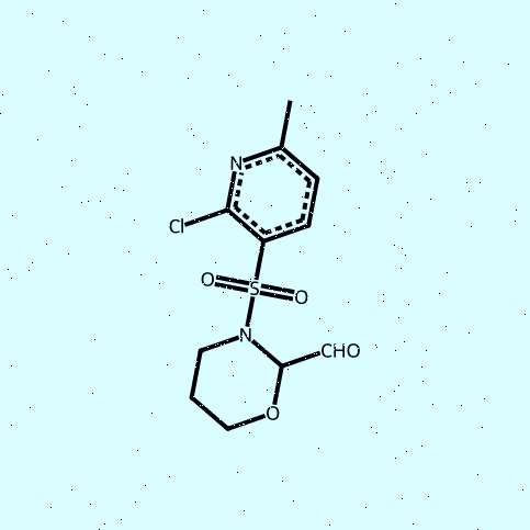 Cc1ccc(S(=O)(=O)N2CCCOC2C=O)c(Cl)n1